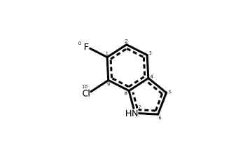 Fc1ccc2cc[nH]c2c1Cl